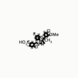 COc1cc(C(C)(C)c2cnc(SCc3cc(C(=O)O)ccc3Cl)n2-c2ccc(F)cc2)ccc1Cl